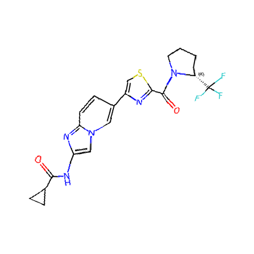 O=C(Nc1cn2cc(-c3csc(C(=O)N4CCC[C@@H]4C(F)(F)F)n3)ccc2n1)C1CC1